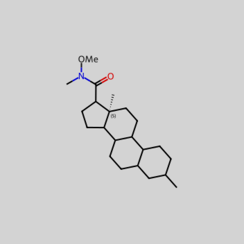 CON(C)C(=O)C1CCC2C3CCC4CC(C)CCC4C3CC[C@]12C